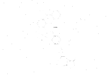 Cc1ccc2c(c1OS(=O)(=O)C(F)(F)F)C(C(=O)Oc1ccc(CCC(=O)ON3C(=O)CCC3=O)cc1)c1ccccc1N2C